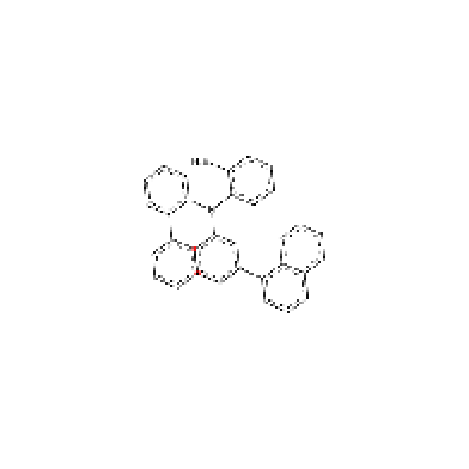 Bc1ccccc1N(c1cccc(-c2cccc3ccccc23)c1)c1ccccc1-c1ccccc1